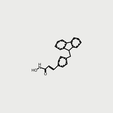 O=C(C=Cc1ccc(CC2c3ccccc3-c3ccccc32)cc1)NO